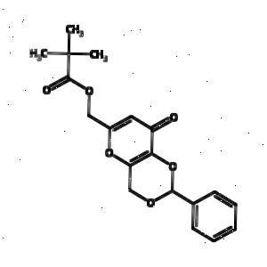 CC(C)(C)C(=O)OCc1cc(=O)c2c(o1)COC(c1ccccc1)O2